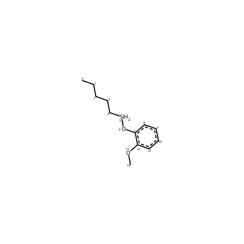 CCCCC[SiH2]Oc1ccccc1OC